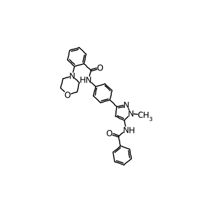 Cn1nc(-c2ccc(NC(=O)c3ccccc3N3CCOCC3)cc2)cc1NC(=O)c1ccccc1